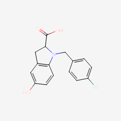 O=C(O)C1Cc2cc(O)ccc2N1Cc1ccc(Cl)cc1